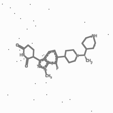 C[C@@H](C1CCNCC1)N1CCC(c2ccc3c(C4CCC(=O)NC4=O)nn(C)c3c2F)CC1